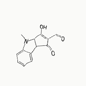 CN1c2ccccc2C2C(=O)C(C=O)=C(O)C21